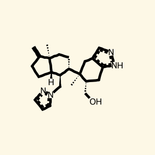 C=C1CC[C@H]2[C@H](Cn3cccn3)[C@@H]([C@@]3(C)Cc4cn[nH]c4C[C@@H]3CO)CC[C@]12C